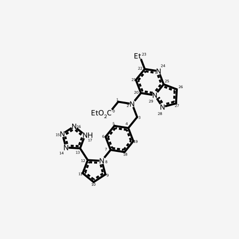 CCOC(=O)CN(Cc1ccc(-n2cccc2-c2nnn[nH]2)cc1)c1cc(CC)nc2ccnn12